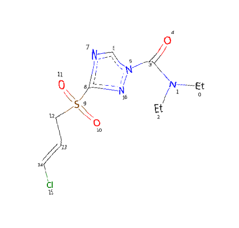 CCN(CC)C(=O)n1cnc(S(=O)(=O)C/C=C/Cl)n1